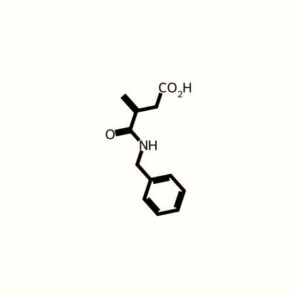 C=C(CC(=O)O)C(=O)NCc1ccccc1